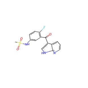 CS(=O)(=O)Nc1ccc(F)c(C(=O)c2c[nH]c3ncccc23)c1